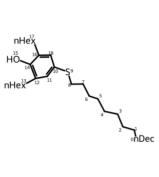 CCCCCCCCCCCCCCCCCCSc1cc(CCCCCC)c(O)c(CCCCCC)c1